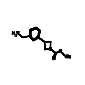 CC(C)(C)OC(=O)N1CC(c2cccc(CN)c2)C1